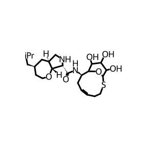 CC(C)C[C@@H]1CCO[C@@H]2[C@H](CN[C@@H]2C(=O)N[C@@H]2C/C=C\CCSC3OC2C(O)C(O)C3O)C1